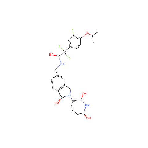 CC(C)Oc1ccc(C(F)(F)[C@H](O)NCc2ccc3c(c2)CN(C2CC[C@H](O)N[C@@H]2O)[C@H]3O)cc1F